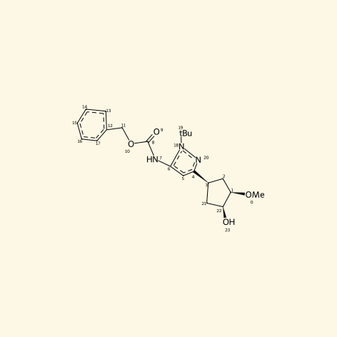 CO[C@@H]1C[C@H](c2cc(NC(=O)OCc3ccccc3)n(C(C)(C)C)n2)C[C@@H]1O